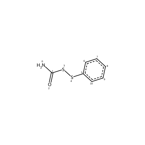 NC(=O)SSc1ccccc1